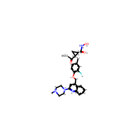 COC(=O)[C@@]1(Cc2ccc(OCc3cc(N4CCN(C)CC4)nc4ccccc34)c(F)c2)C[C@@H]1C(=O)NO